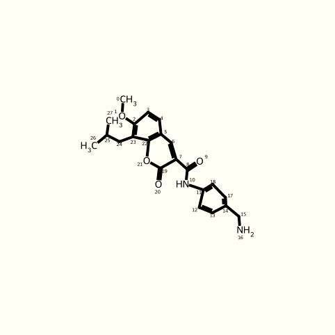 COc1ccc2cc(C(=O)Nc3ccc(CN)cc3)c(=O)oc2c1CC(C)C